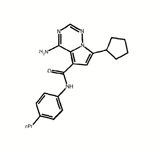 CCCc1ccc(NC(=O)c2cc(C3CCCC3)n3ncnc(N)c23)cc1